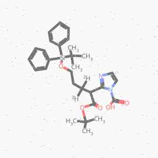 [2H]C([2H])(CCO[Si](c1ccccc1)(c1ccccc1)C(C)(C)C)C(C(=O)OC(C)(C)C)c1nccn1C(=O)O